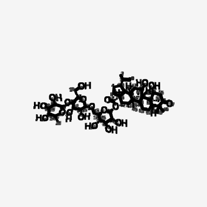 C=C(C)[C@@H]1CC[C@]2(C(=O)O[C@@H]3O[C@H](CO[C@@H]4O[C@H](CO)[C@@H](O[C@@H]5O[C@@H](C)[C@H](O)[C@@H](O)[C@H]5O)[C@H](O)[C@H]4O)[C@@H](O)[C@H](O)[C@H]3O)CC[C@]3(C)[C@H](C[C@@H](O)[C@@H]4[C@@]5(C)[C@H](O)CC(=O)C(C)(C)[C@@H]5CC[C@]43C)[C@@H]12